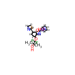 CC(C)(O)C(F)(F)Oc1ccc(-c2nccs2)c2oc(N3CC4CC(C3)N4O)nc12